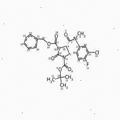 CN(C(=O)[C@@H]1CN(C(=O)OC(C)(C)C)C(=O)N1C(=O)OCc1ccccc1)c1ccc(F)c(Cl)c1